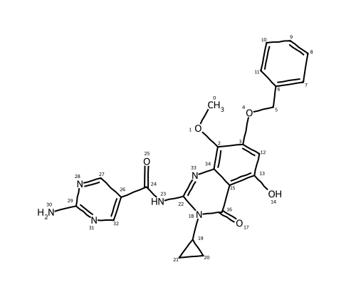 COc1c(OCc2ccccc2)cc(O)c2c(=O)n(C3CC3)c(NC(=O)c3cnc(N)nc3)nc12